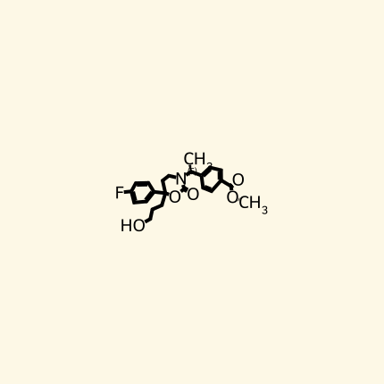 COC(=O)c1ccc([C@H](C)N2CCC(CCCO)(c3ccc(F)cc3)OC2=O)cc1